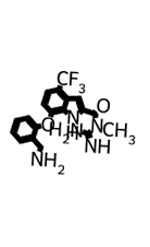 CN(C(=N)N)C(=O)c1cc2c(C(F)(F)F)ccc(Oc3ccccc3CN)c2[nH]1